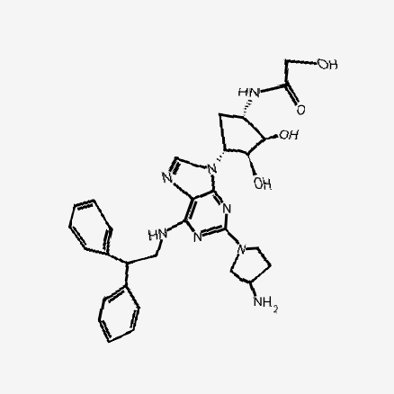 NC1CCN(c2nc(NCC(c3ccccc3)c3ccccc3)c3ncn([C@@H]4C[C@H](NC(=O)CO)[C@@H](O)[C@H]4O)c3n2)C1